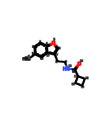 CCCCc1ccc2occ(CCNC(=O)C3CCC3)c2c1